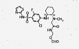 CN(CC(=O)NCOC=O)[C@H]1CCCC[C@@H]1Nc1cc(F)c(S(=O)(=O)Nc2nccs2)cc1Cl